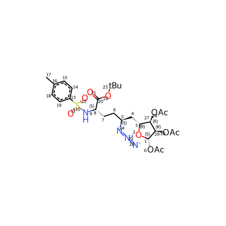 CC(=O)O[C@@H]1O[C@H](C[C@H](CC[C@H](NS(=O)(=O)c2ccc(C)cc2)C(=O)OC(C)(C)C)N=[N+]=[N-])[C@@H](OC(C)=O)[C@H]1OC(C)=O